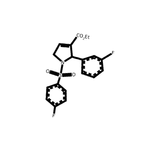 CCOC(=O)C1=CCN(S(=O)(=O)c2ccc(F)cc2)C1c1cccc(F)c1